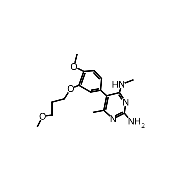 CNc1nc(N)nc(C)c1-c1ccc(OC)c(OCCCOC)c1